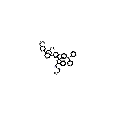 C=Cc1ccc(C23CCCC(c4ccc5c(c4)C4(C=C(/C=C\C=C/C)c6ccccc64)c4cc(N(c6ccccc6)c6ccccc6)ccc4-5)(CC(C)C2)C3)cc1